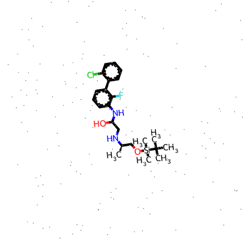 C[C@H](CO[Si](C)(C)C(C)(C)C)NCC(O)Nc1cccc(-c2ccccc2Cl)c1F